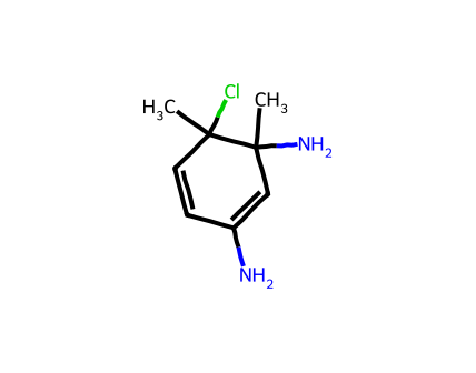 CC1(N)C=C(N)C=CC1(C)Cl